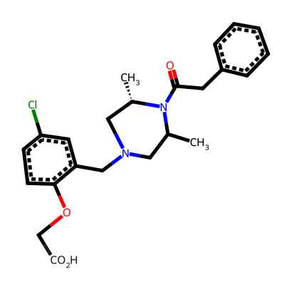 CC1CN(Cc2cc(Cl)ccc2OCC(=O)O)C[C@H](C)N1C(=O)Cc1ccccc1